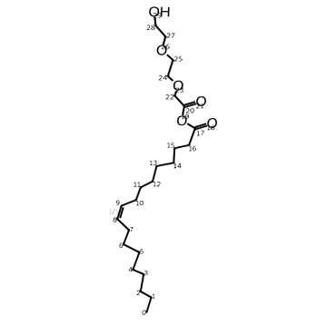 CCCCCCCC/C=C\CCCCCCCC(=O)OC(=O)COCCOCCO